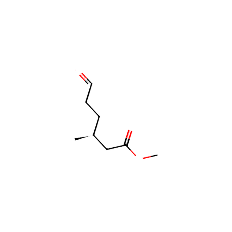 COC(=O)C[C@@H](C)CCC=O